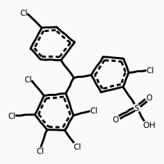 O=S(=O)(O)c1cc(C(c2ccc(Cl)cc2)c2c(Cl)c(Cl)c(Cl)c(Cl)c2Cl)ccc1Cl